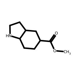 COC(=O)C1CCC2NCCC2C1